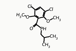 COc1c(Cl)cc(Cl)c(OC)c1C(=O)PCC(C)C